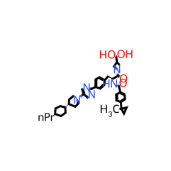 CCC[C@H]1CC[C@H](C2CCN(c3cnc(-c4ccc(C[C@H](NC(=O)c5ccc(C6(C)CC6)cc5)C(=O)N5CC(C(O)O)C5)cc4)nc3)CC2)CC1